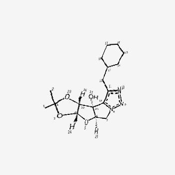 CC1(C)O[C@H]2O[C@@H]3Cn4nnc(CC5CCCCC5)c4[C@]3(O)[C@H]2O1